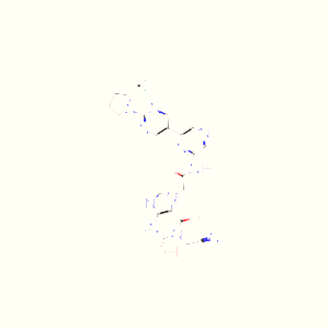 C[C@@H](C(=O)Nc1cncc(-c2cnc(N3CCC[C@H]3C(F)(F)F)nc2)n1)n1cnc2c1C(=O)N(CC#N)C(O)N2C